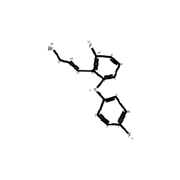 Fc1ccc(Sc2cccc(F)c2C=CCBr)cc1